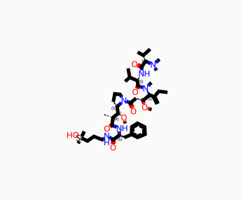 C=C(CC)[C@@H]([C@@H](CC(=O)N1CCC[C@H]1[C@H](OC)[C@@H](C)C(=O)N[C@@H](Cc1ccccc1)C(=O)NCCC[Si](C)(C)O)OC)N(C)C(=O)[C@@H](NC(=O)[C@H](C(C)C)N(C)C)C(C)C